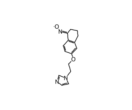 [O]N=C1CCCc2cc(OCCn3ccnc3)ccc21